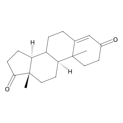 CC12CCC(=O)C=C1CCC1[C@@H]2CC[C@]2(C)C(=O)CC[C@@H]12